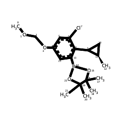 COCOc1cc(Cl)c(C2C[C@H]2C)c(B2OC(C)(C)C(C)(C)O2)c1